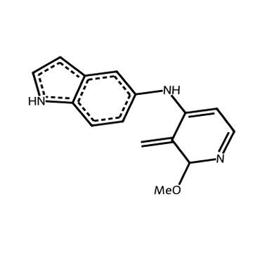 C=C1C(Nc2ccc3[nH]ccc3c2)=CC=NC1OC